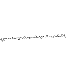 CCCCCOCCOCCOCCOCCOCCOCCOCCOCCOCC